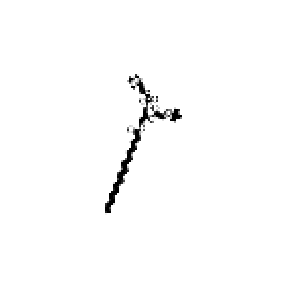 CCCCCCCCCCCCCCCC(=O)OCC(COP(=O)([O-])OCC[N+](C)(C)C)OC(=O)COC(C)(C)C